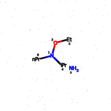 CCCN(OCC)C(C)C.N